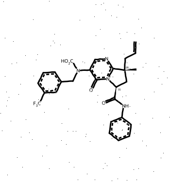 C=CC[C@]1(C)C[C@@H](C(=O)Nc2ccccc2)n2c1ncc(N(Cc1cccc(C(F)(F)F)c1)C(=O)O)c2=O